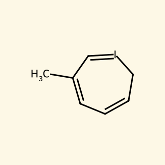 CC1=CC=CCI=C1